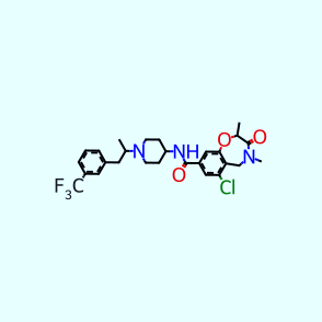 CC1Oc2cc(C(=O)NC3CCN(C(C)Cc4cccc(C(F)(F)F)c4)CC3)cc(Cl)c2CN(C)C1=O